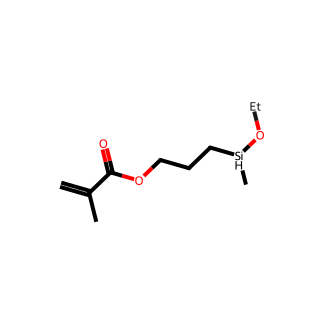 C=C(C)C(=O)OCCC[SiH](C)OCC